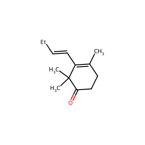 CC/C=C/C1=C(C)CCC(=O)C1(C)C